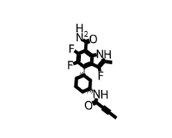 CC#CC(=O)N[C@@H]1CCC[C@H](c2c(F)c(F)c(C(N)=O)c3[nH]c(C)c(F)c23)C1